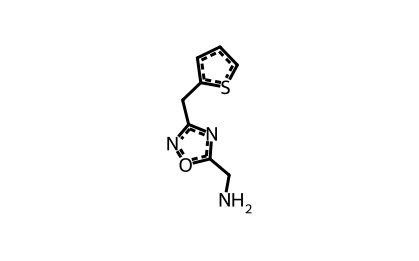 NCc1nc(Cc2cccs2)no1